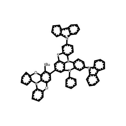 CC(C)(C)c1c(-c2cc3c4c(c2)N(c2ccccc2)c2cc(-n5c6ccccc6c6ccccc65)ccc2B4c2ccc(-n4c5ccccc5c5ccccc54)cc2S3)cc2c3c1Oc1ccccc1B3c1ccccc1O2